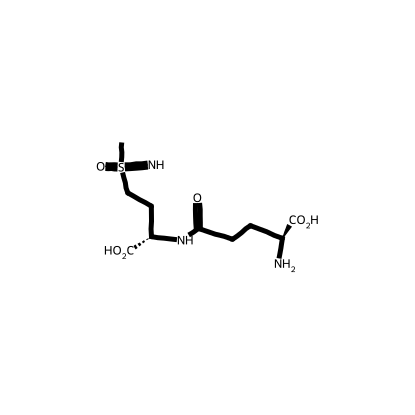 CS(=N)(=O)CC[C@H](NC(=O)CC[C@H](N)C(=O)O)C(=O)O